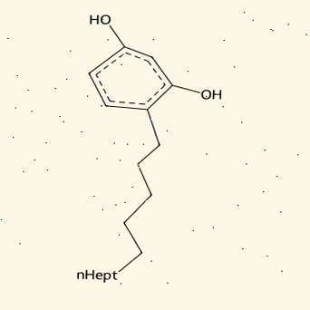 CCCCCCCCCCCCc1[c]cc(O)cc1O